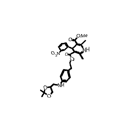 COC(=O)C1=C(C)NC(C)=C(C(=O)OCCc2ccc(NCC3COC(C)(C)O3)cc2)C1c1cccc([N+](=O)[O-])c1